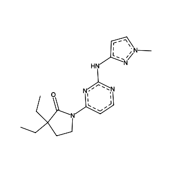 CCC1(CC)CCN(c2ccnc(Nc3ccn(C)n3)n2)C1=O